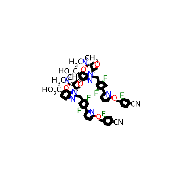 CN(C)C(=O)[C@@H]1COC[C@@H]1n1c(Cc2cc(F)c(-c3cccc(OCc4ccc(C#N)cc4F)n3)cc2F)nc2ccc(C(=O)O)cc21.CN(C)C(=O)[C@@H]1COC[C@@H]1n1c(Cc2cc(F)c(-c3cccc(OCc4ccc(C#N)cc4F)n3)cc2F)nc2ccc(C(=O)O)cc21